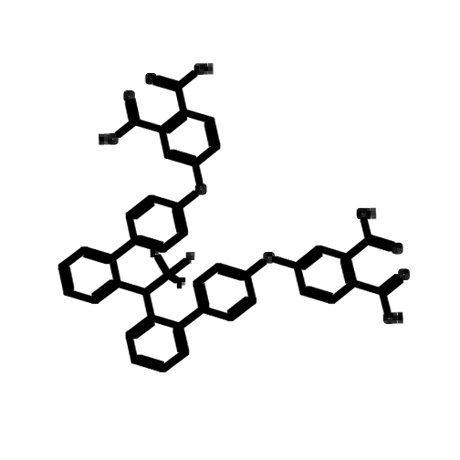 O=C(O)c1ccc(Oc2ccc(-c3ccccc3C(c3ccccc3-c3ccc(Oc4ccc(C(=O)O)c(C(=O)O)c4)cc3)C(F)(F)F)cc2)cc1C(=O)O